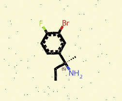 CC[C@](C)(N)c1ccc(F)c(Br)c1